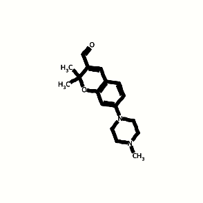 CN1CCN(c2ccc3c(c2)OC(C)(C)C(C=O)=C3)CC1